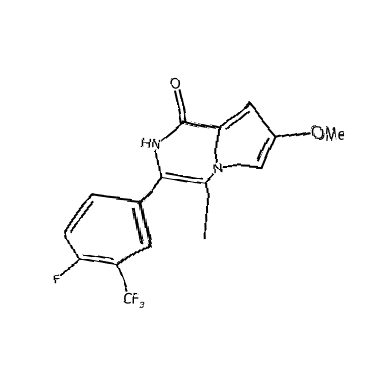 COc1cc2c(=O)[nH]c(-c3ccc(F)c(C(F)(F)F)c3)c(C)n2c1